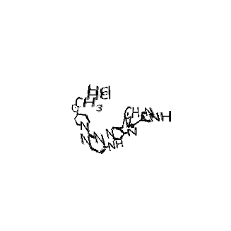 COC1CCN(c2nccc(Nc3cc4nc(-c5cn[nH]c5)n(C)c4cn3)n2)CC1.Cl.Cl